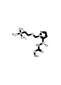 CC(C)(C)OC(=O)N[S@@+]([O-])c1ccnn1COCC[Si](C)(C)C